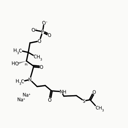 CC(=O)SCCNC(=O)CCN(C)C(=O)[C@H](O)C(C)(C)COP(=O)([O-])[O-].[Na+].[Na+]